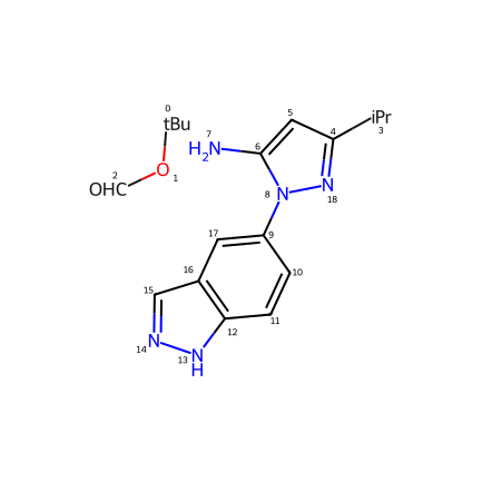 CC(C)(C)OC=O.CC(C)c1cc(N)n(-c2ccc3[nH]ncc3c2)n1